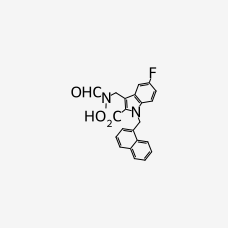 CN(C=O)Cc1c(C(=O)O)n(Cc2cccc3ccccc23)c2ccc(F)cc12